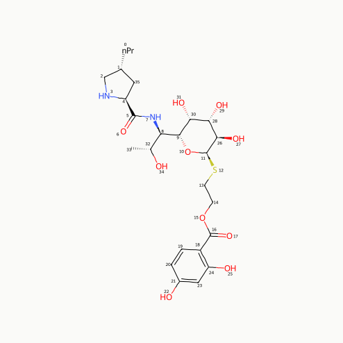 CCC[C@H]1CN[C@H](C(=O)N[C@@H]([C@H]2O[C@H](SCCOC(=O)c3ccc(O)cc3O)[C@H](O)[C@@H](O)[C@H]2O)[C@@H](C)O)C1